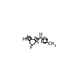 Cc1cnc(Nc2nc3c(s2)CC(F)Cc2[nH]ncc2-3)nc1